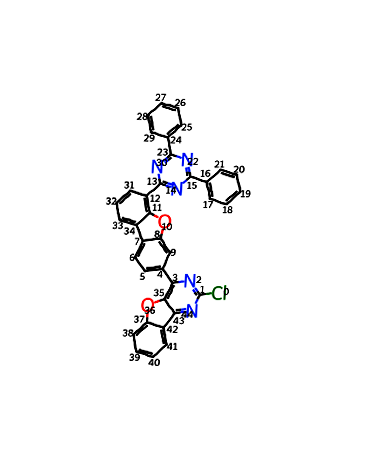 Clc1nc(-c2ccc3c(c2)oc2c(-c4nc(-c5ccccc5)nc(-c5ccccc5)n4)cccc23)c2oc3ccccc3c2n1